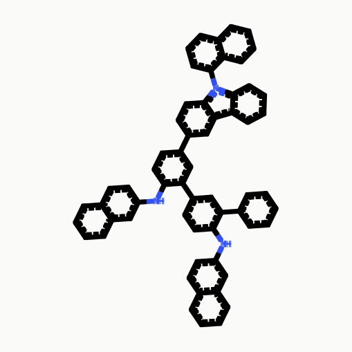 c1ccc(-c2cc(-c3cc(-c4ccc5c(c4)c4ccccc4n5-c4cccc5ccccc45)ccc3Nc3ccc4ccccc4c3)ccc2Nc2ccc3ccccc3c2)cc1